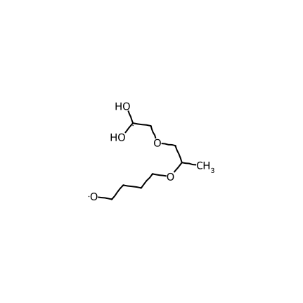 CC(COC[C](O)O)OCCCC[O]